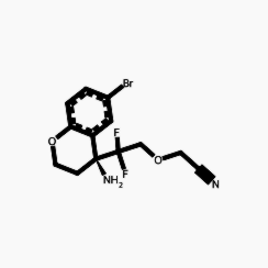 N#CCOCC(F)(F)[C@]1(N)CCOc2ccc(Br)cc21